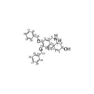 CC[C@]12C=CC(O)C[C@@H]1NCc1cc(OCc3ccccc3)c(OCc3ccccc3)cc12